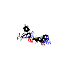 C[C@@H]1[C@H](c2ccccc2)C[C@H](NC(=O)c2cc3c(s2)C[C@]2(C3)C(=O)Nc3ncccc32)C(=O)N1CC(F)(F)F